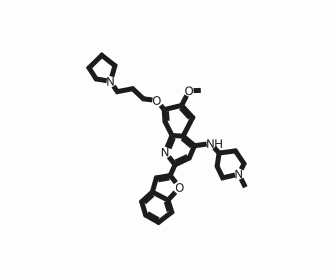 COc1cc2c(NC3CCN(C)CC3)cc(-c3cc4ccccc4o3)nc2cc1OCCCN1CCCC1